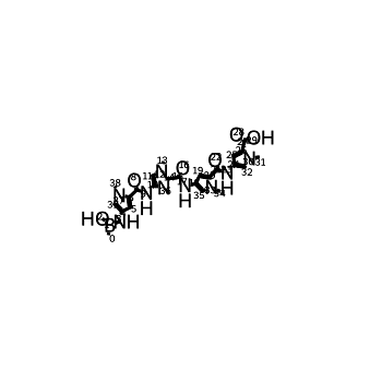 CB(O)Nc1cc(C(=O)Nc2cn(C)c(C(=O)Nc3cc(C(=O)Nc4cc(C(=O)O)n(C)c4)n(C)c3)n2)n(C)c1